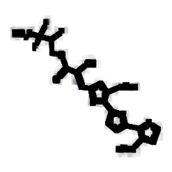 CCCCCCc1ccsc1-c1ccc(-c2sc(/C=C(\C#N)C(=O)OCC(F)C(F)(F)S(=O)(=O)O)cc2CCCCCC)s1